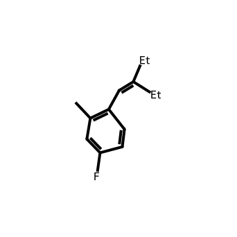 CCC(=Cc1ccc(F)cc1C)CC